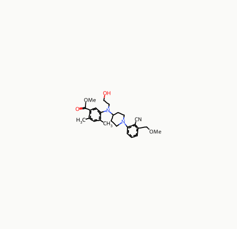 COCc1cccc(N2CCC(N(CCO)c3cc(C(=O)OC)c(C)cc3C)CC2)c1C#N